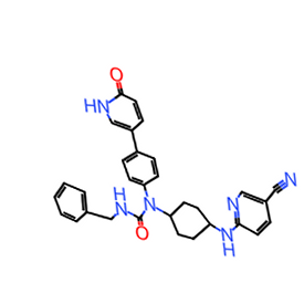 N#Cc1ccc(NC2CCC(N(C(=O)NCc3ccccc3)c3ccc(-c4ccc(=O)[nH]c4)cc3)CC2)nc1